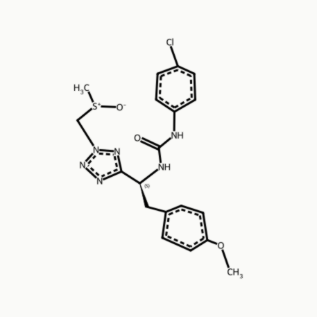 COc1ccc(C[C@H](NC(=O)Nc2ccc(Cl)cc2)c2nnn(C[S+](C)[O-])n2)cc1